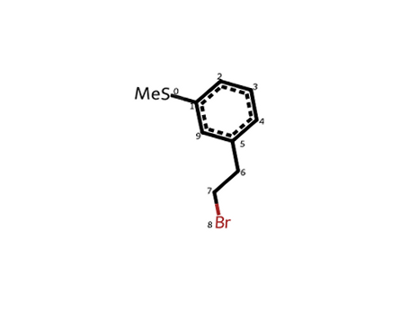 CSc1cccc(CCBr)c1